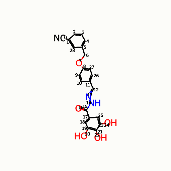 N#Cc1cccc(COc2ccc(/C=N/NC(=O)c3cc(O)c(O)c(O)c3)cc2)c1